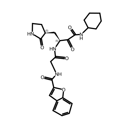 O=C(CNC(=O)c1cc2ccccc2o1)N[C@@H](C[C@@H]1CCNC1=O)C(=O)C(=O)NC1CCCCC1